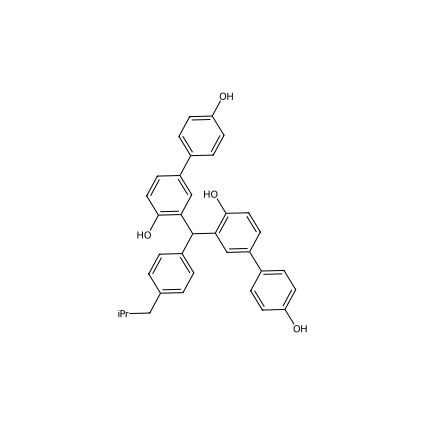 CC(C)Cc1ccc(C(c2cc(-c3ccc(O)cc3)ccc2O)c2cc(-c3ccc(O)cc3)ccc2O)cc1